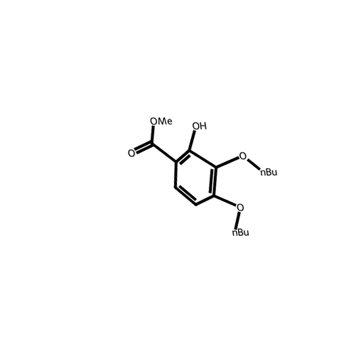 CCCCOc1ccc(C(=O)OC)c(O)c1OCCCC